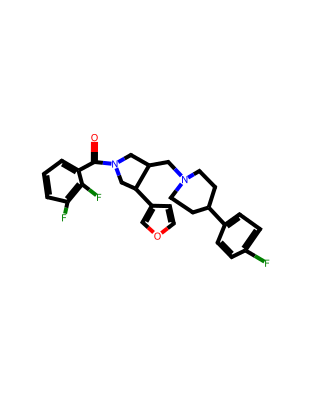 O=C(c1cccc(F)c1F)N1CC(CN2CCC(c3ccc(F)cc3)CC2)C(c2ccoc2)C1